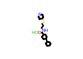 Cl.O=C(NCCCSc1ccncc1)c1ccc(-c2ccccc2)cc1